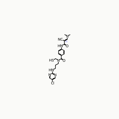 CN(C)/C=C(\C#N)C(=O)Nc1ccc(C(=O)N(CS)CCCNc2ncc(Cl)cn2)cc1